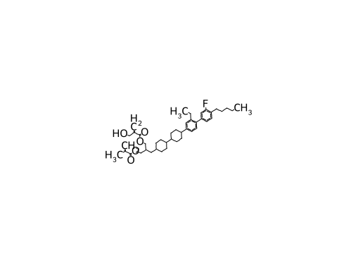 C=C(C)C(=O)OCC(COC(=O)C(=C)CO)CC1CCC(C2CCC(c3ccc(-c4ccc(CCCCC)c(F)c4)c(CC)c3)CC2)CC1